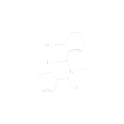 CC(=O)N(C(C)c1ccccc1)C(C)c1ccccc1C